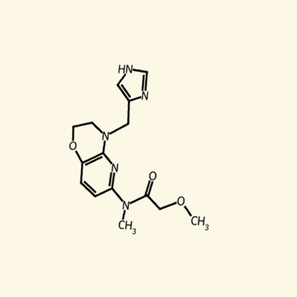 COCC(=O)N(C)c1ccc2c(n1)N(Cc1c[nH]cn1)CCO2